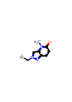 Cn1c(=O)ccc2nn(CC#N)cc21